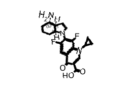 N[C@H]1CCC[C@H]2[C@@H]1CCN2c1c(F)cc2c(=O)c(C(=O)O)cn(C3CC3)c2c1F